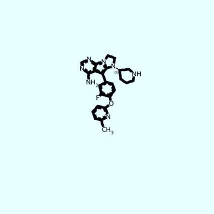 Cc1cccc(Oc2ccc(-c3c4n(c5ncnc(N)c35)CCN4[C@H]3CCCNC3)cc2F)n1